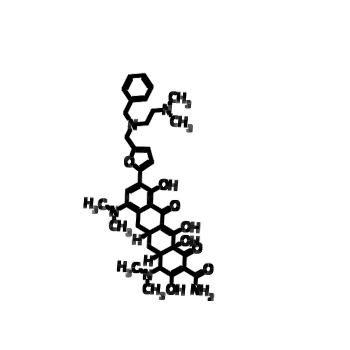 CN(C)CCN(Cc1ccccc1)Cc1ccc(-c2cc(N(C)C)c3c(c2O)C(=O)C2=C(O)[C@]4(O)C(=O)C(C(N)=O)=C(O)C(N(C)C)[C@@H]4C[C@@H]2C3)o1